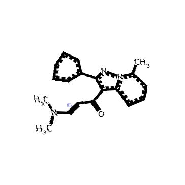 Cc1cccc2c(C(=O)/C=C/N(C)C)c(-c3ccccc3)nn12